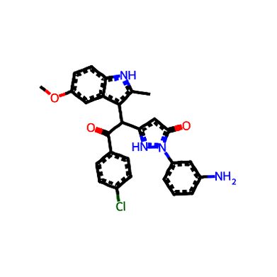 COc1ccc2[nH]c(C)c(C(C(=O)c3ccc(Cl)cc3)c3cc(=O)n(-c4cccc(N)c4)[nH]3)c2c1